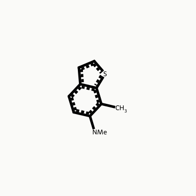 CNc1ccc2ccsc2c1C